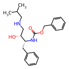 CC(C)CNC[C@@H](O)[C@@H](Cc1ccccc1)NC(=O)OCc1ccccc1